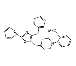 COc1ccccc1N1CCN(Cc2oc(-c3ccccc3)nc2Cc2ccccc2)CC1